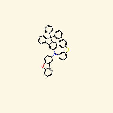 c1ccc(C2(c3ccccc3)c3ccccc3-c3cc(N(c4ccc5oc6ccccc6c5c4)c4cccc5sc6ccccc6c45)ccc32)cc1